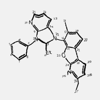 CCC1N(c2ccccc2)c2ncccc2N1c1c(C)ccc2c1oc1nc(C)ccc12